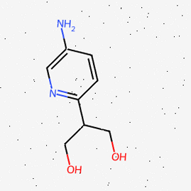 Nc1ccc(C(CO)CO)nc1